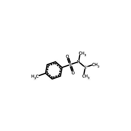 Cc1ccc(S(=O)(=O)N(C)[S+](C)C)cc1